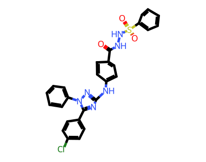 O=C(NNS(=O)(=O)c1ccccc1)c1ccc(Nc2nc(-c3ccc(Cl)cc3)n(-c3ccccc3)n2)cc1